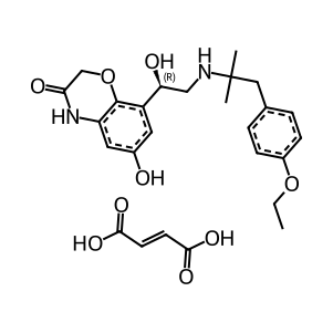 CCOc1ccc(CC(C)(C)NC[C@H](O)c2cc(O)cc3c2OCC(=O)N3)cc1.O=C(O)C=CC(=O)O